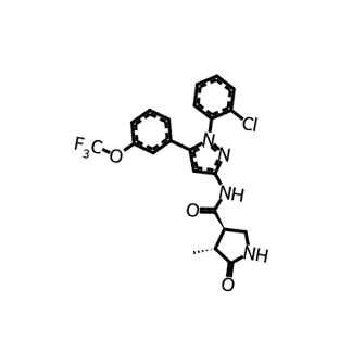 C[C@H]1C(=O)NC[C@@H]1C(=O)Nc1cc(-c2cccc(OC(F)(F)F)c2)n(-c2ccccc2Cl)n1